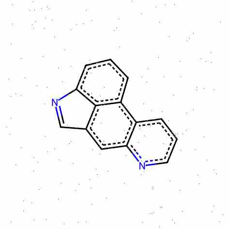 C1=Nc2cccc3c2c1cc1ncccc13